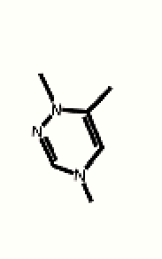 CC1=CN(C)C=NN1C